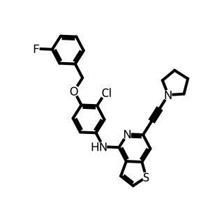 Fc1cccc(COc2ccc(Nc3nc(C#CN4CCCC4)cc4sccc34)cc2Cl)c1